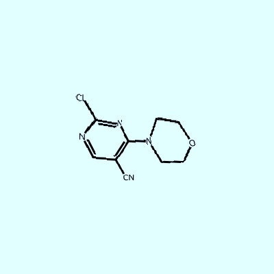 N#Cc1cnc(Cl)nc1N1CCOCC1